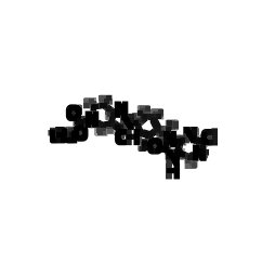 Cc1c2c(nn1-c1ccc(Cn3c(=O)[nH]c4cnc(Cl)nc43)cc1)CCN(C(=O)OC(C)(C)C)C2